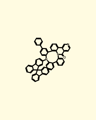 O=c1c2ccncc2c2cccc3c2n1-c1ccccc1-c1ccccc1N(c1ccc2c(c1)C1(c4ccccc4-c4ccccc41)c1ccccc1-2)c1ccc(-c2ccccc2)cc1-3